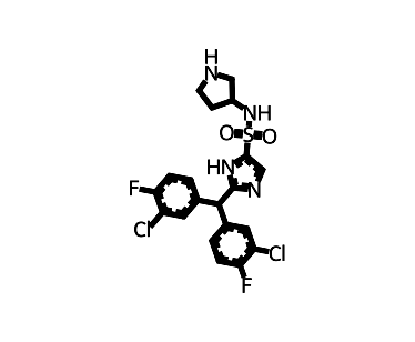 O=S(=O)(NC1CCNC1)c1cnc(C(c2ccc(F)c(Cl)c2)c2ccc(F)c(Cl)c2)[nH]1